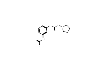 CCCC(C)C(=O)Nc1cccc(NC(=S)NN2CCCC2)c1